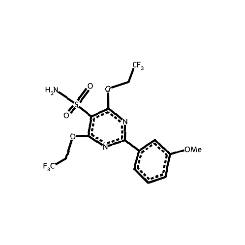 COc1cccc(-c2nc(OCC(F)(F)F)c(S(N)(=O)=O)c(OCC(F)(F)F)n2)c1